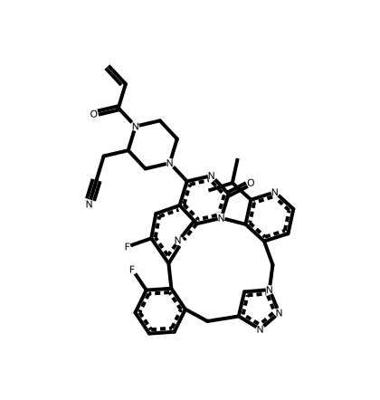 C=CC(=O)N1CCN(c2nc(=O)n3c4nc(c(F)cc24)-c2c(F)cccc2Cc2cn(nn2)Cc2ccnc(C(C)C)c2-3)CC1CC#N